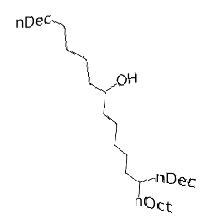 CCCCCCCCCCCCCCC(O)CCCCCC(CCCCCCCC)CCCCCCCCCC